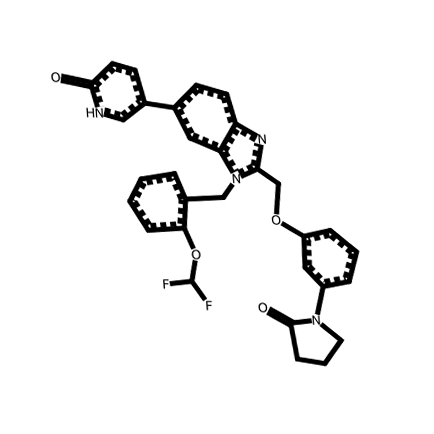 O=C1CCCN1c1cccc(OCc2nc3ccc(-c4ccc(=O)[nH]c4)cc3n2Cc2ccccc2OC(F)F)c1